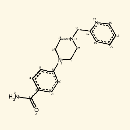 NC(=O)c1ccc(N2CCN(Cc3ccccn3)CC2)cc1